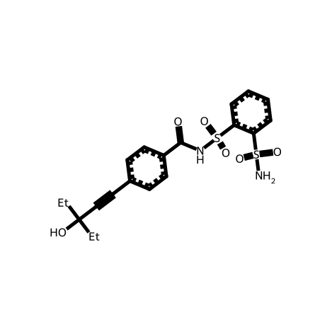 CCC(O)(C#Cc1ccc(C(=O)NS(=O)(=O)c2ccccc2S(N)(=O)=O)cc1)CC